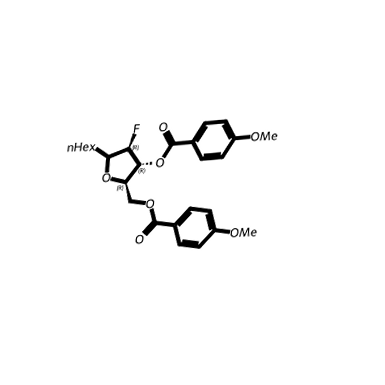 CCCCCCC1O[C@H](COC(=O)c2ccc(OC)cc2)[C@@H](OC(=O)c2ccc(OC)cc2)[C@@H]1F